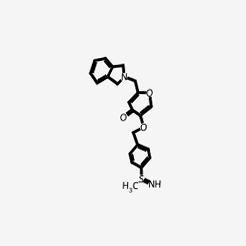 CS(=N)c1ccc(COc2coc(CN3Cc4ccccc4C3)cc2=O)cc1